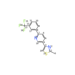 Cc1nc(-c2ccc(-c3cccc(C(F)(F)F)c3)nc2)cs1